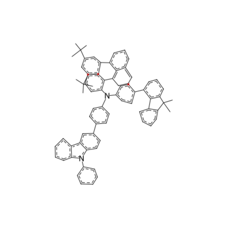 CC(C)(C)c1cc(-c2cccc3c2=C(c2ccccc2N(c2ccc(-c4ccc5c(c4)c4ccccc4n5-c4ccccc4)cc2)c2ccc(-c4cccc5c4-c4ccccc4C5(C)C)cc2)CCC=3)cc(C(C)(C)C)c1